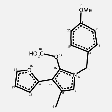 COc1ccc(Cn2cc(C)c(-c3ccco3)c2OC(=O)O)cc1